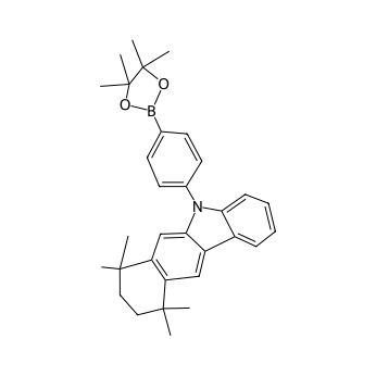 CC1(C)CCC(C)(C)c2cc3c(cc21)c1ccccc1n3-c1ccc(B2OC(C)(C)C(C)(C)O2)cc1